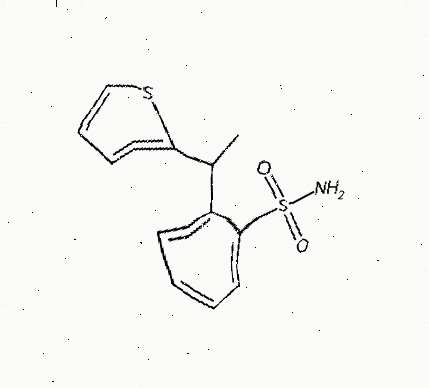 CC(c1cccs1)c1ccccc1S(N)(=O)=O